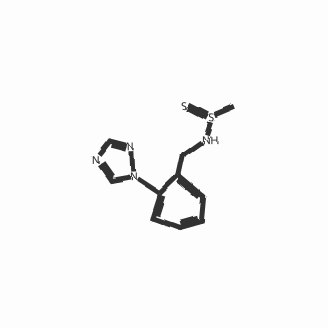 CS(=S)NCc1ccccc1-n1cncn1